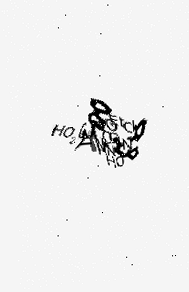 CCOc1cc([C@H](CC(=O)O)NC(=O)Nc2c(O)c3c(n(Cc4ccccc4Cl)c2=O)CCC3)ccc1-c1ccccc1